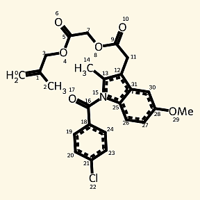 C=C(C)COC(=O)COC(=O)Cc1c(C)n(C(=O)c2ccc(Cl)cc2)c2ccc(OC)cc12